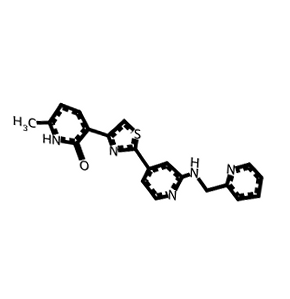 Cc1ccc(-c2csc(-c3ccnc(NCc4ccccn4)c3)n2)c(=O)[nH]1